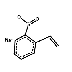 C=Cc1ccccc1S(=O)[O-].[Na+]